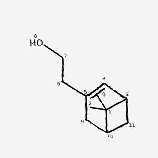 CC1(C)C2C=C(CCO)CC1C2